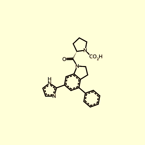 O=C([C@@H]1CCCN1C(=O)O)N1CCc2c(-c3ccccc3)cc(-c3ncc[nH]3)cc21